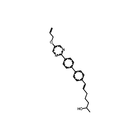 C=CCOc1cnc(-c2ccc(-c3ccc(C=CCCCC(C)O)cc3)cc2)nc1